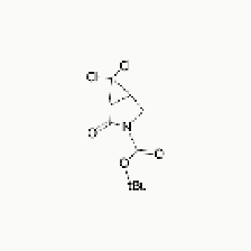 CC(C)(C)OC(=O)N1CC2C(C1=O)C2(Cl)Cl